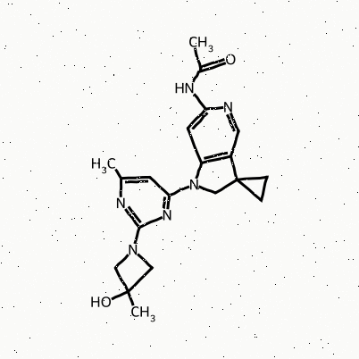 CC(=O)Nc1cc2c(cn1)C1(CC1)CN2c1cc(C)nc(N2CC(C)(O)C2)n1